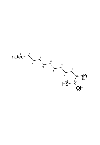 CCCCCCCCCCCCCCCCCCCC(C(C)C)C(O)S